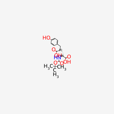 CC(C)(C)OC(=O)N[C@H](C[C@@H](Cc1ccc(O)cc1)C(=O)O)C(=O)O